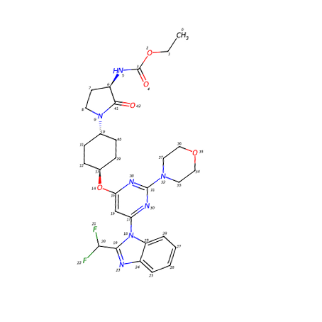 CCOC(=O)N[C@@H]1CCN([C@H]2CC[C@H](Oc3cc(-n4c(C(F)F)nc5ccccc54)nc(N4CCOCC4)n3)CC2)C1=O